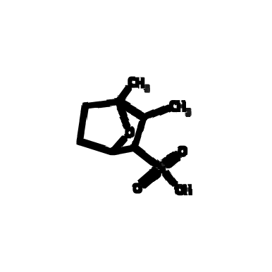 CC1C(S(=O)(=O)O)C2CCC1(C)O2